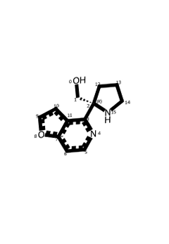 OC[C@]1(c2nccc3occc23)CCCN1